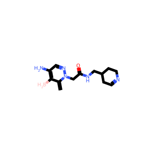 BC1=C(N)C=NN(CC(=O)NCC2CC=NCC2)C1=C